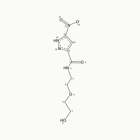 O=C(NCCOCCO)c1cc([N+](=O)[O-])[nH]n1